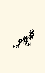 N#Cc1cn2c(NCc3c(F)ccc4c3CCO4)ncc(-c3cccc(CCO)c3)c2n1